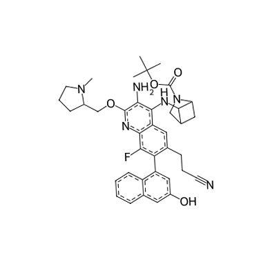 CN1CCCC1COc1nc2c(F)c(-c3cc(O)cc4ccccc34)c(CCC#N)cc2c(NC2C3CC2N(C(=O)OC(C)(C)C)C3)c1N